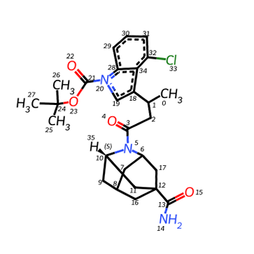 CC(CC(=O)N1C2CC3C[C@H]1CC(C(N)=O)(C3)C2)c1cn(C(=O)OC(C)(C)C)c2cccc(Cl)c12